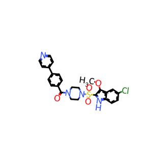 COc1c(S(=O)(=O)N2CCN(C(=O)c3ccc(-c4ccncc4)cc3)CC2)[nH]c2ccc(Cl)cc12